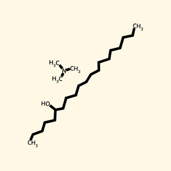 CCCCCCCCCCCCCCC(O)CCCCC.CN(C)C